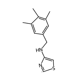 Cc1cc(CNc2cs[c]n2)cc(C)c1C